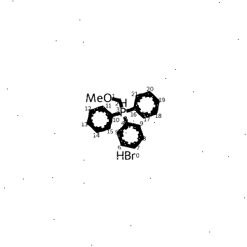 Br.COC[PH](c1ccccc1)(c1ccccc1)c1ccccc1